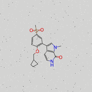 Cn1cc(-c2cc(S(C)(=O)=O)ccc2OCC2CCC2)c2cc[nH]c(=O)c21